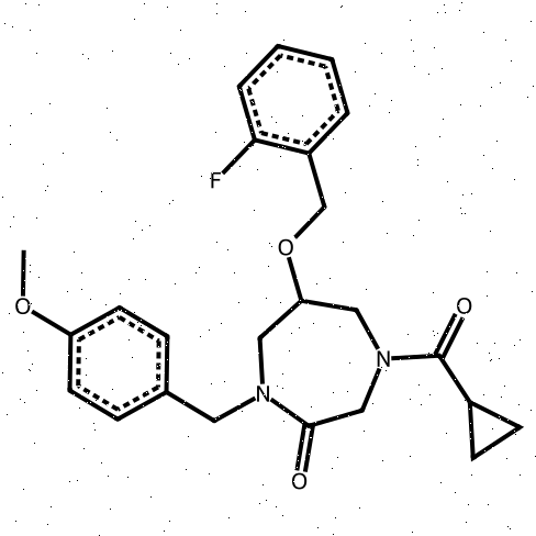 COc1ccc(CN2CC(OCc3ccccc3F)CN(C(=O)C3CC3)CC2=O)cc1